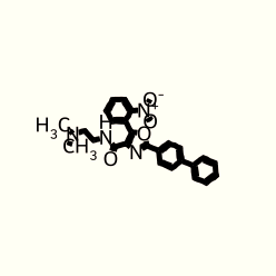 CN(C)CCNC(=O)c1nc(-c2ccc(-c3ccccc3)cc2)oc1-c1ccccc1[N+](=O)[O-]